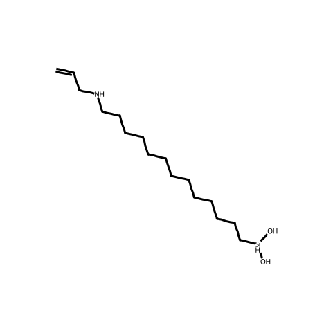 C=CCNCCCCCCCCCCCCC[SiH](O)O